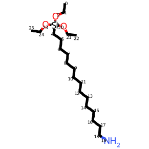 CCO[Si](CCCCCCCCCCCCCCCN)(OCC)OCC